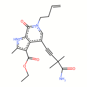 C=CCCn1cc(C#CC(C)(C)C(N)=O)c2c(C(=O)OCC)c(C)[nH]c2c1=O